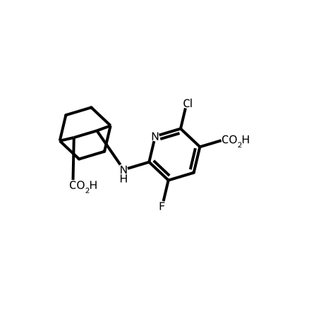 O=C(O)c1cc(F)c(NC2C3CCC(CC3)C2C(=O)O)nc1Cl